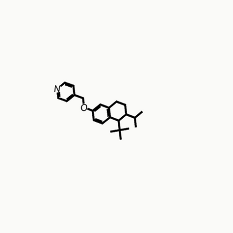 CC(C)C1CCc2cc(OCc3ccncc3)ccc2C1C(C)(C)C